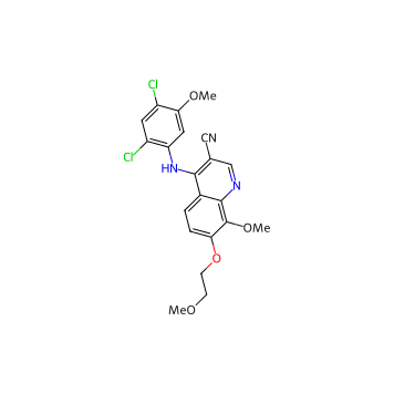 COCCOc1ccc2c(Nc3cc(OC)c(Cl)cc3Cl)c(C#N)cnc2c1OC